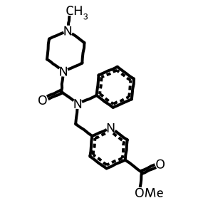 COC(=O)c1ccc(CN(C(=O)N2CCN(C)CC2)c2ccccc2)nc1